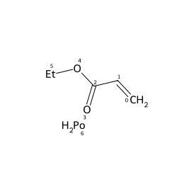 C=CC(=O)OCC.[PoH2]